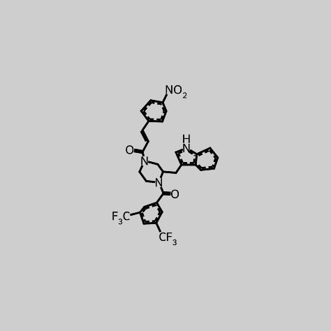 O=C(C=Cc1ccc([N+](=O)[O-])cc1)N1CCN(C(=O)c2cc(C(F)(F)F)cc(C(F)(F)F)c2)C(Cc2c[nH]c3ccccc23)C1